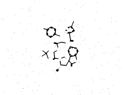 Cc1cc(C(=O)N[C@@H](Cc2ccc(F)cc2)C(=O)N[C@@H](CC(C)(C)C)C(=O)N2C[C@]3(C[C@H]2C#N)C(=O)Nc2ccccc23)no1